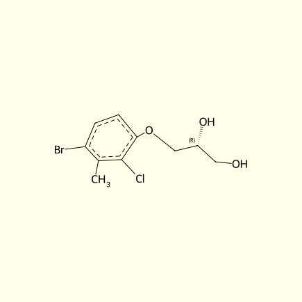 Cc1c(Br)ccc(OC[C@H](O)CO)c1Cl